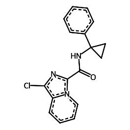 O=C(NC1(c2ccccc2)CC1)c1nc(Cl)c2ccccn12